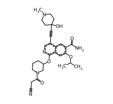 CC(C)Oc1cc2c(OC3CCCN(C(=O)CC#N)C3)ncc(C#CC3(O)CCN(C)CC3)c2cc1C(N)=O